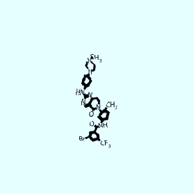 Cc1ccc(NC(=O)c2cc(Br)cc(C(F)(F)F)c2)cc1N1CCc2nc(Nc3ccc(N4CCN(C)CC4)cc3)ncc2C1=O